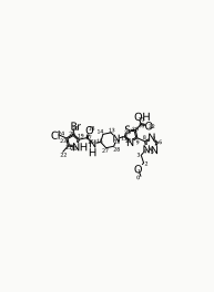 COCCn1ncnc1-c1nc(N2CCC(NC(=O)c3[nH]c(C)c(Cl)c3Br)CC2)sc1C(=O)O